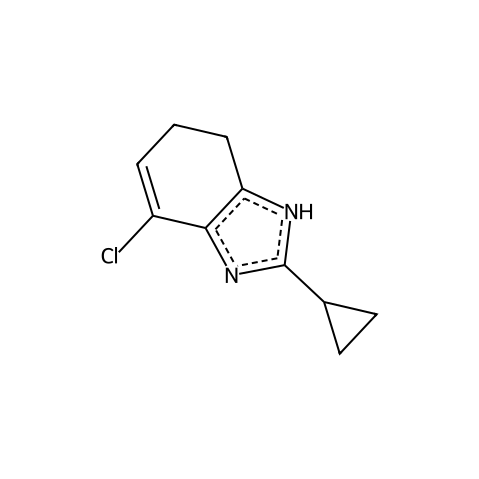 ClC1=CCCc2[nH]c(C3CC3)nc21